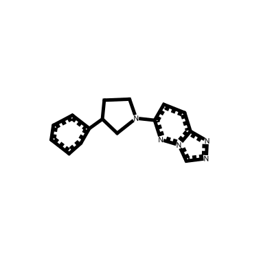 c1ccc(C2CCN(c3ccc4nncn4n3)C2)cc1